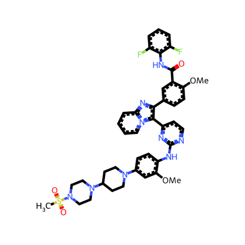 COc1cc(N2CCC(N3CCN(S(C)(=O)=O)CC3)CC2)ccc1Nc1nccc(-c2c(-c3ccc(OC)c(C(=O)Nc4c(F)cccc4F)c3)nc3ccccn23)n1